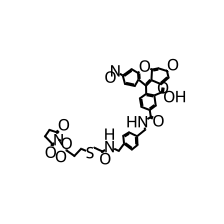 O=Nc1ccc2c(-c3ccc(C(=O)NCc4ccc(CNC(=O)CSCCC(=O)ON5C(=O)CCC5=O)cc4)cc3C(=O)O)c3ccc(=O)cc-3oc2c1